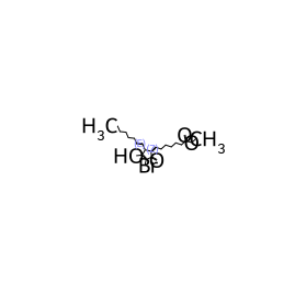 CCCCCC/C=C/C1C(O)=C(Br)C(=O)/C1=C\CCCCCC(=O)OC